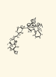 CC(C)(O)c1ccccc1CC[C@H](OP(=O)(O)O)c1cccc(C=Cc2ccc3ccc(Cl)cc3n2)c1